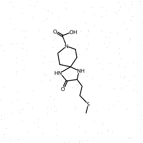 CSCCC1NC2(CCN(C(=O)O)CC2)NC1=O